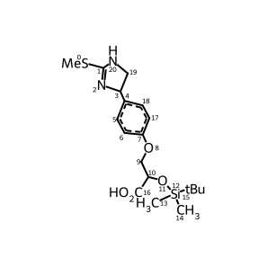 CSC1=NC(c2ccc(OCC(O[Si](C)(C)C(C)(C)C)C(=O)O)cc2)CN1